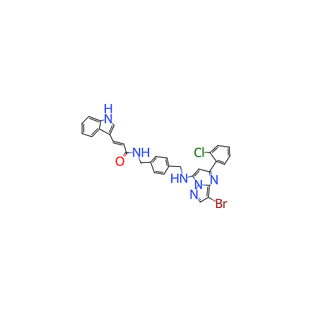 O=C(/C=C/c1c[nH]c2ccccc12)NCc1ccc(CNc2cc(-c3ccccc3Cl)nc3c(Br)cnn23)cc1